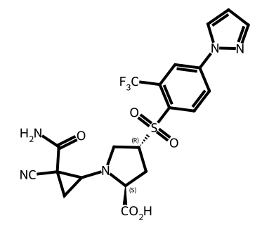 N#CC1(C(N)=O)CC1N1C[C@H](S(=O)(=O)c2ccc(-n3cccn3)cc2C(F)(F)F)C[C@H]1C(=O)O